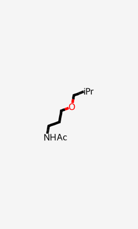 CC(=O)NCCCOCC(C)C